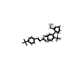 CC(C)(C)c1ccc(C=Cc2nc3cc(-c4ccccc4CO)c(C(F)(F)F)cc3[nH]2)cc1